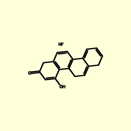 F.O=C1C=C(O)c2c(ccc3c2CC=C2CC=CC=C23)C1